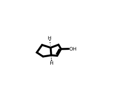 OC1=C[C@H]2CCC[C@H]2C1